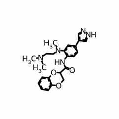 CN(C)CCN(C)c1cc(-c2cn[nH]c2)ccc1NC(=O)C1COc2ccccc2O1